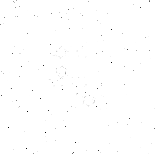 Cc1ccc(NC(O)CN(C)c2nc(-c3cc(OC4COC4)ccn3)nc3c2CCC3)cn1